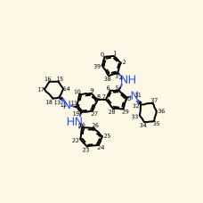 c1ccc(Nc2cc(-c3ccc(N=C4CCCCC4)c(Nc4ccccc4)c3)ccc2N=C2CCCCC2)cc1